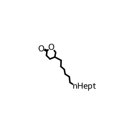 CCCCCCCCCCCCCC1CCC(=O)OC1